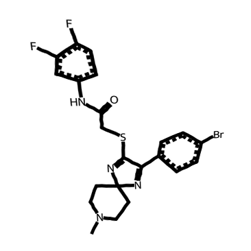 CN1CCC2(CC1)N=C(SCC(=O)Nc1ccc(F)c(F)c1)C(c1ccc(Br)cc1)=N2